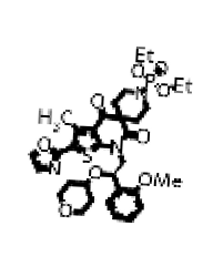 CCOP(=O)(OCC)N1CCC2(CC1)C(=O)c1c(sc(-c3ncco3)c1C)N(C[C@H](OC1CCOCC1)c1ccccc1OC)C2=O